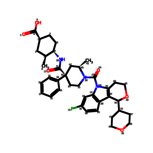 C[C@H]1C[C@@H](C(=O)O)CC[C@@H]1NC(=O)[C@@]1(c2ccccc2)CCN(C(=O)n2c3c(c4ccc(F)cc42)C(C2CCOCC2)OCC3)[C@@H](C)C1